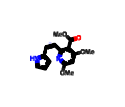 COC(=O)c1c(OC)cc(OC)nc1/C=C\c1ccc[nH]1